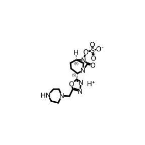 O=C1N2C[C@@H](CC[C@H]2c2nnc(CN3CCNCC3)o2)N1OS(=O)(=O)[O-].[H+]